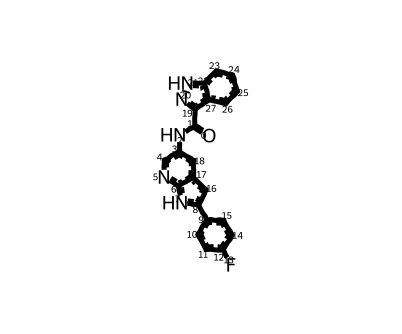 O=C(Nc1cnc2[nH]c(-c3ccc(F)cc3)cc2c1)c1n[nH]c2ccccc12